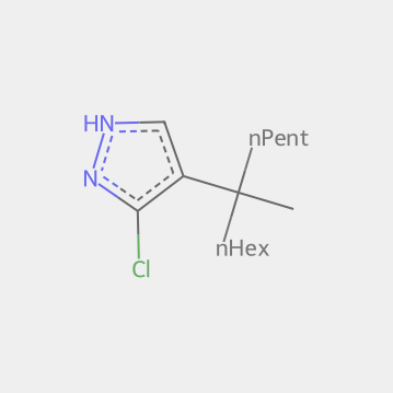 CCCCCCC(C)(CCCCC)c1c[nH]nc1Cl